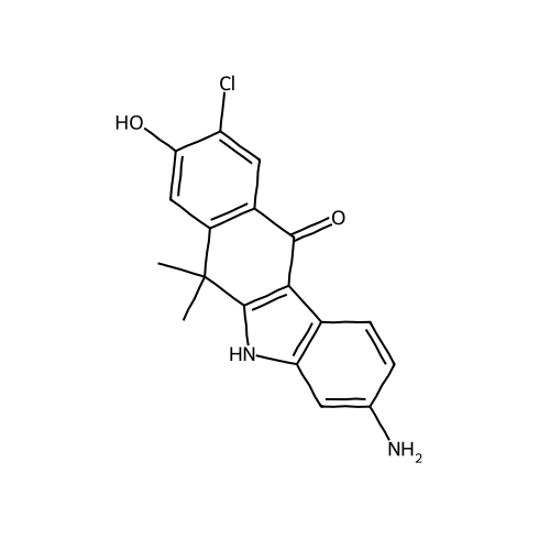 CC1(C)c2cc(O)c(Cl)cc2C(=O)c2c1[nH]c1cc(N)ccc21